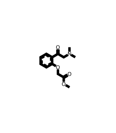 COC(=O)COc1ccccc1C(=O)CN(C)C